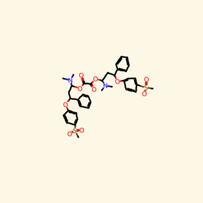 CN(C)C(CC(Oc1ccc(S(C)(=O)=O)cc1)c1ccccc1)OC(=O)C(=O)OC(CC(Oc1ccc(S(C)(=O)=O)cc1)c1ccccc1)N(C)C